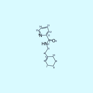 O=C(NCCC1=CCCCC1)c1ccccn1